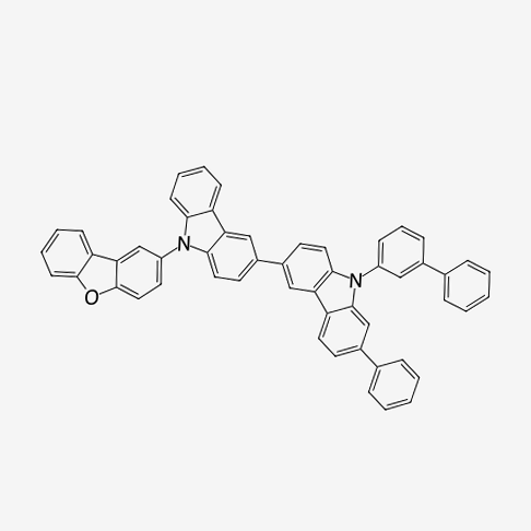 c1ccc(-c2cccc(-n3c4ccc(-c5ccc6c(c5)c5ccccc5n6-c5ccc6oc7ccccc7c6c5)cc4c4ccc(-c5ccccc5)cc43)c2)cc1